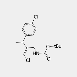 CC(C(=CCl)CNC(=O)OC(C)(C)C)c1ccc(Cl)cc1